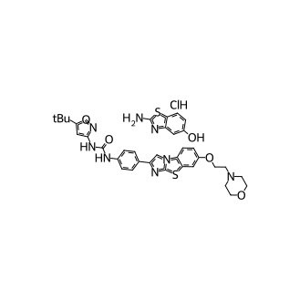 CC(C)(C)c1cc(NC(=O)Nc2ccc(-c3cn4c(n3)sc3cc(OCCN5CCOCC5)ccc34)cc2)no1.Cl.Nc1nc2cc(O)ccc2s1